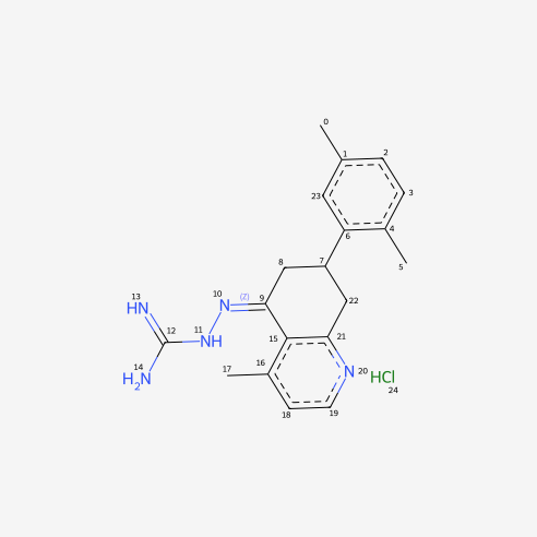 Cc1ccc(C)c(C2C/C(=N/NC(=N)N)c3c(C)ccnc3C2)c1.Cl